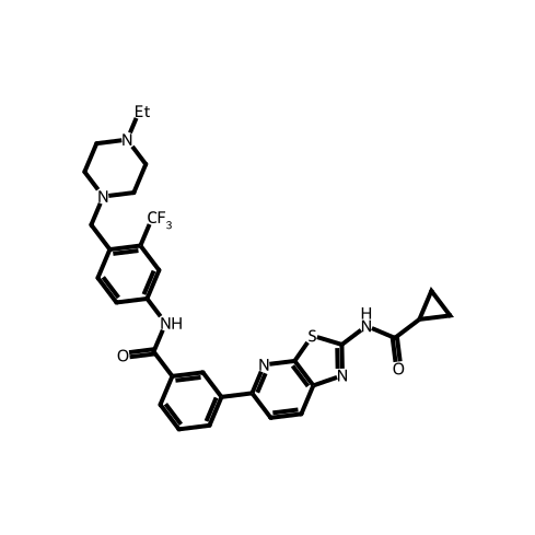 CCN1CCN(Cc2ccc(NC(=O)c3cccc(-c4ccc5nc(NC(=O)C6CC6)sc5n4)c3)cc2C(F)(F)F)CC1